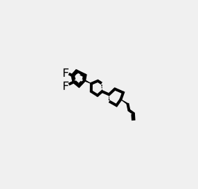 C=CCC[C@H]1CC[C@H]([C@H]2CC[C@H](c3ccc(F)c(F)c3)CC2)CC1